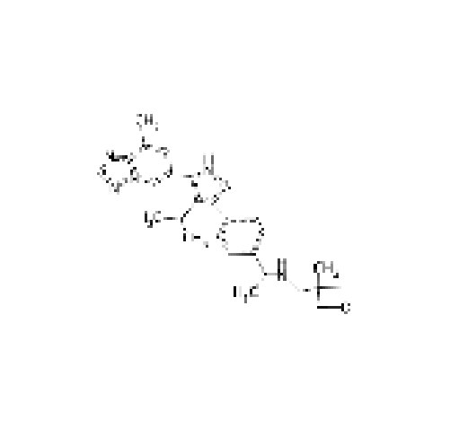 Cc1cc(-c2[nH]nc(-c3ccc([C@@H](C)NCC4(C)COC4)cc3)c2C(C)C)cn2ncnc12